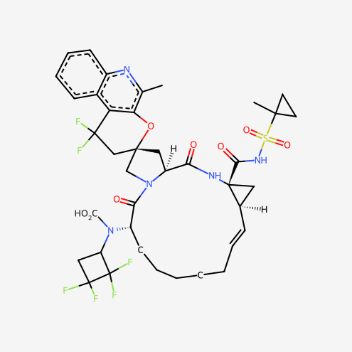 Cc1nc2ccccc2c2c1O[C@@]1(C[C@H]3C(=O)N[C@]4(C(=O)NS(=O)(=O)C5(C)CC5)C[C@H]4/C=C\CCCCC[C@H](N(C(=O)O)C4CC(F)(F)C4(F)F)C(=O)N3C1)CC2(F)F